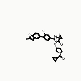 Cc1cc2cc(-c3ccc(C4=NC5(CC5)C(=O)N4C[C@@H]4CCN(C(=O)C5CC5)C4)cc3F)ccc2o1